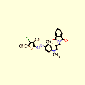 Cc1cc(N(C)CCCN2C(=O)c3ccccc3C2=O)ccc1/N=N/c1sc(C=O)c(Cl)c1C#N